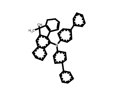 CC1(C)C2=C(C=CCC2)c2c1cc1ccccc1c2N(c1ccc(-c2ccccc2)cc1)c1ccc(-c2ccccc2)cc1